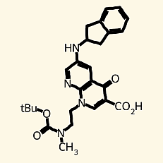 CN(CCn1cc(C(=O)O)c(=O)c2cc(NC3Cc4ccccc4C3)cnc21)C(=O)OC(C)(C)C